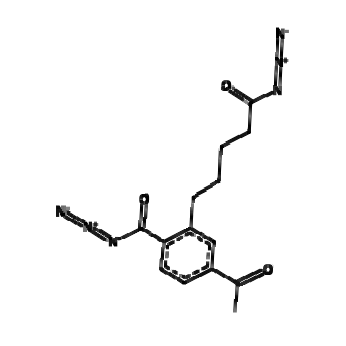 CC(=O)c1ccc(C(=O)N=[N+]=[N-])c(CCCCC(=O)N=[N+]=[N-])c1